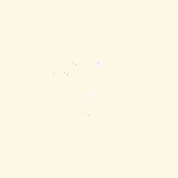 C=C(N)/C(C#N)=C\C(C#N)=C/C